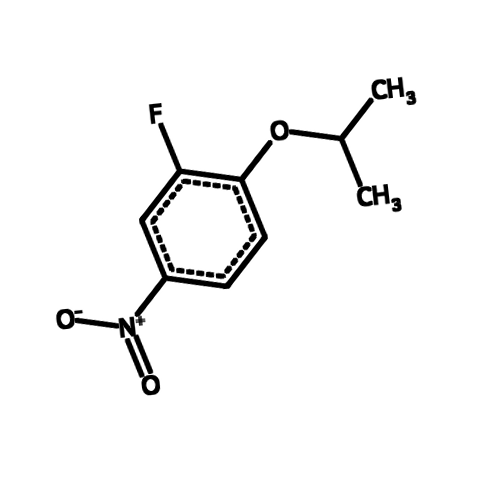 CC(C)Oc1ccc([N+](=O)[O-])cc1F